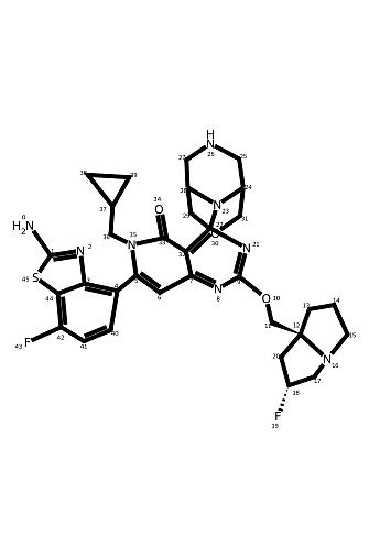 Nc1nc2c(-c3cc4nc(OC[C@@]56CCCN5C[C@H](F)C6)nc(N5C6CNCC5COC6)c4c(=O)n3CC3CC3)ccc(F)c2s1